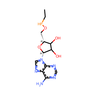 CCPOC[C@H]1O[C@@H](n2cnc3c(N)ncnc32)C(O)C1O